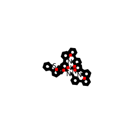 c1ccc(-c2nc(-c3cccc(-c4ccccc4)c3-n3c4ccccc4c4ccccc43)nc(-c3cccc(-c4ccccc4)c3-n3c4ccccc4c4cc(-c5cccc6c5sc5ccccc56)ccc43)n2)cc1